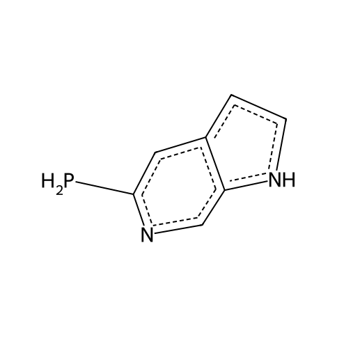 Pc1cc2cc[nH]c2cn1